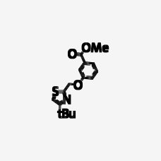 COC(=O)c1cccc(OCc2nc(C(C)(C)C)cs2)c1